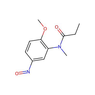 CCC(=O)N(C)c1cc(N=O)ccc1OC